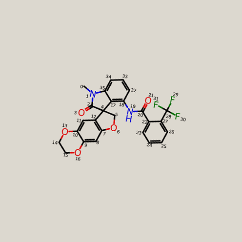 CN1C(=O)C2(COc3cc4c(cc32)OCCO4)c2c(NC(=O)c3ccccc3C(F)(F)F)cccc21